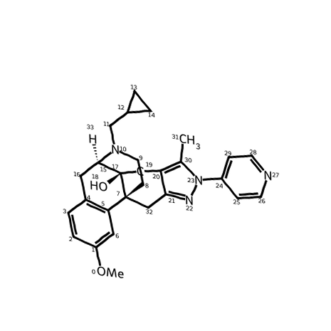 COc1ccc2c(c1)[C@]13CCN(CC4CC4)[C@H](C2)[C@]1(O)Cc1c(nn(-c2ccncc2)c1C)C3